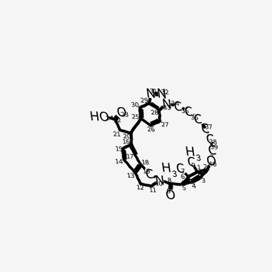 Cc1c2ccc(c1C)C(=O)N1CCc3ccc(cc3C1)C(CC(=O)O)c1ccc3c(c1)nnn3CCCCCCO2